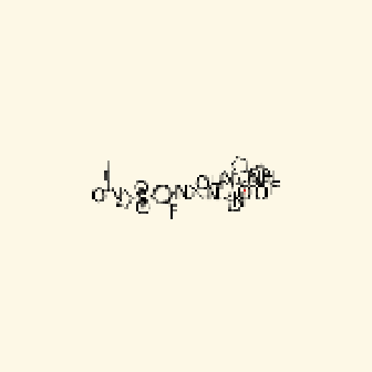 C=N[C@]1(C(CN2CCC2)(c2cccc(F)c2)C2CCN(CC3(O)CN(c4ccc(S(=O)(=O)[C@@H]5CCN(C(=O)C#CC)C5)cc4F)C3)CC2)CCC[C@@H]1NC(=O)OC